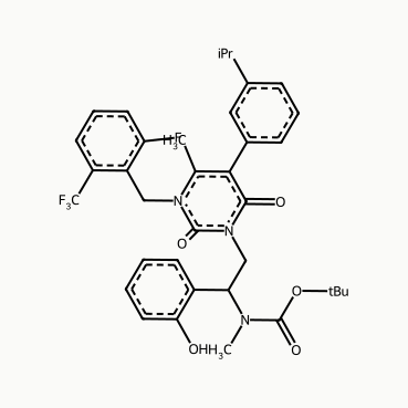 Cc1c(-c2cccc(C(C)C)c2)c(=O)n(CC(c2ccccc2O)N(C)C(=O)OC(C)(C)C)c(=O)n1Cc1c(F)cccc1C(F)(F)F